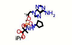 CC(C)OC(=O)C(C)(C)N[P@](=O)(CO[C@H](C)Cn1cnc2c(N)ncnc21)ON=C1CCCC1